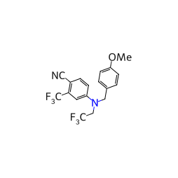 COc1ccc(CN(CC(F)(F)F)c2ccc(C#N)c(C(F)(F)F)c2)cc1